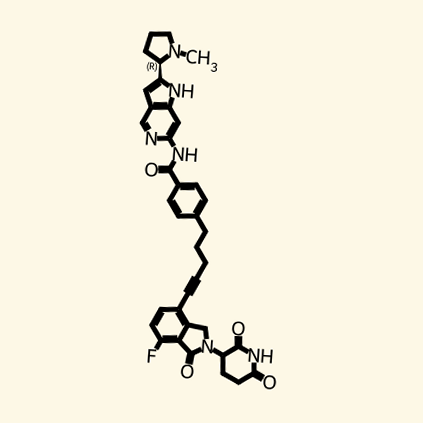 CN1CCC[C@@H]1c1cc2cnc(NC(=O)c3ccc(CCCC#Cc4ccc(F)c5c4CN(C4CCC(=O)NC4=O)C5=O)cc3)cc2[nH]1